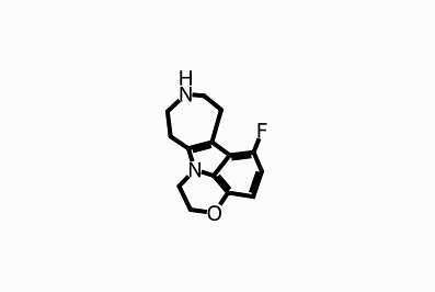 Fc1ccc2c3c1c1c(n3CCO2)CCNCC1